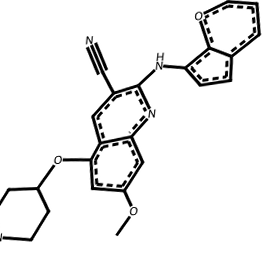 COc1cc(OC2CCN(C)CC2)c2cc(C#N)c(Nc3ccc4cccoc3-4)nc2c1